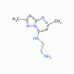 Cc1cc(NCCN)n2nc(C)cc2n1